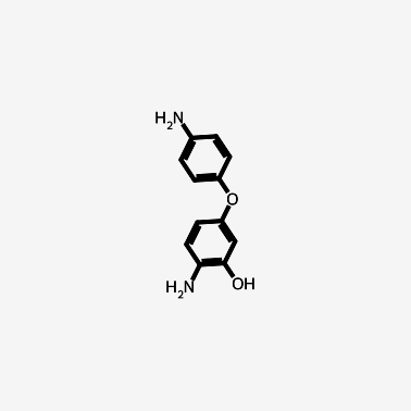 Nc1ccc(Oc2ccc(N)c(O)c2)cc1